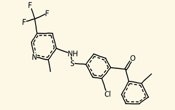 Cc1ccccc1C(=O)c1ccc(SNc2cc(C(F)(F)F)cnc2C)cc1Cl